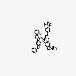 O=C([C@H](Cc1ccccc1)N(Cc1ccc2[nH]ccc2c1)C(=O)/C=C/c1ccc(C(F)(F)F)cc1)N1CCN(Cc2ccccc2)CC1